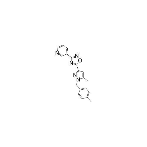 Cc1ccc(Cn2nc(-c3nc(-c4cccnc4)no3)cc2C)cc1